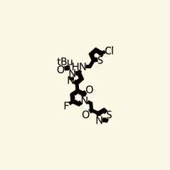 CC(C)(C)C(=O)n1nc(-c2cc(F)cn(CC(=O)c3cscn3)c2=O)cc1NCc1ccc(Cl)s1